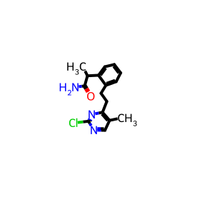 Cc1cnc(Cl)nc1CCc1ccccc1C(C)C(N)=O